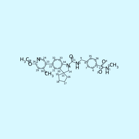 CNS(=O)(=O)c1ccc(CNC(=O)N2CC3(CCCC3)c3cc(-c4cnc(OC)cc4C)ccc32)cc1